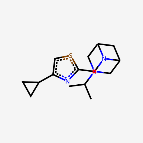 CC(C)N1CC2CC(C1)N2Cc1nc(C2CC2)cs1